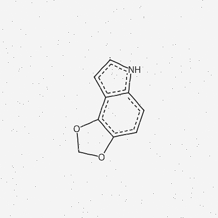 [c]1cc2c3c(ccc2[nH]1)OCO3